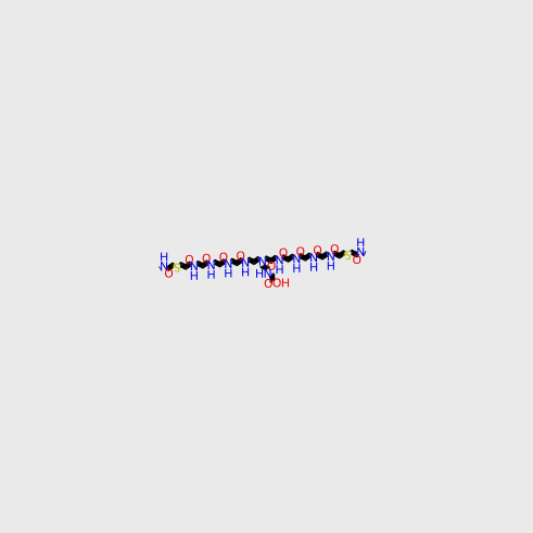 CNC(=O)CSCCC(=O)NCCC(=O)NCCC(=O)NCCC(=O)NCCCN(CCCNC(=O)CCNC(=O)CCNC(=O)CCNC(=O)CCSCC(=O)NC)CC(=O)NCC(=O)O